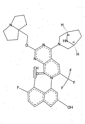 C#Cc1c(F)ccc2cc(O)cc(-n3c(C(F)(F)F)cc4c(N5C[C@H]6CC[C@@H](C5)N6)nc(OCC56CCCN5CCC6)nc4c3=O)c12